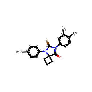 N#Cc1ccc(N2C(=O)C3(CCC3)N(c3ccc(C(=O)O)cc3)C2=S)cc1C(F)(F)F